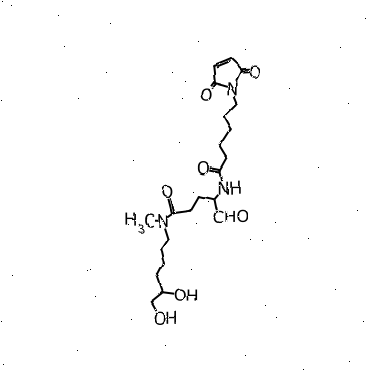 CN(CCCCC(O)CO)C(=O)CCC(C=O)NC(=O)CCCCCN1C(=O)C=CC1=O